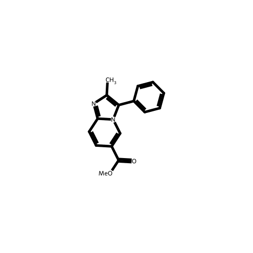 COC(=O)c1ccc2nc(C)c(-c3ccccc3)n2c1